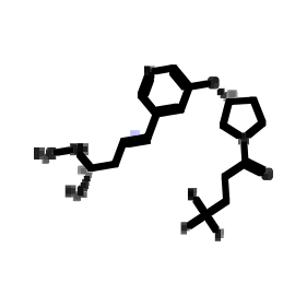 CN[C@@H](C)C/C=C/c1cncc(O[C@@H]2CCN(C(=O)CCC(F)(F)F)C2)c1